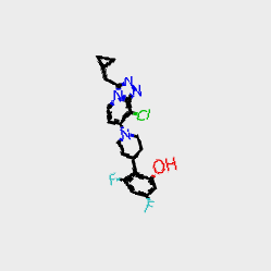 Oc1cc(F)cc(F)c1C1CCN(c2ccn3c(CC4CC4)nnc3c2Cl)CC1